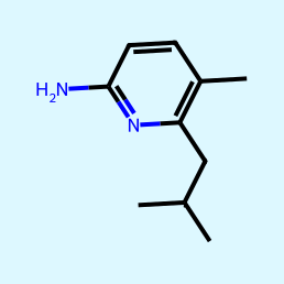 C[C](C)Cc1nc(N)ccc1C